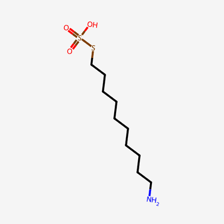 NCCCCCCCCCCSS(=O)(=O)O